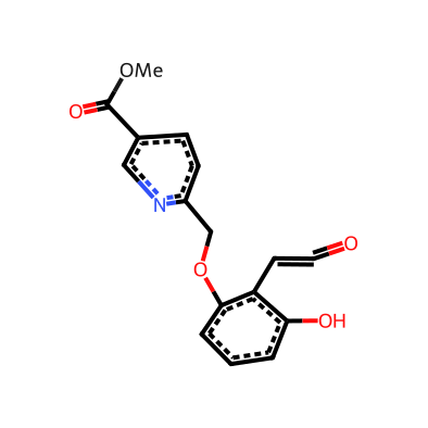 COC(=O)c1ccc(COc2cccc(O)c2C=C=O)nc1